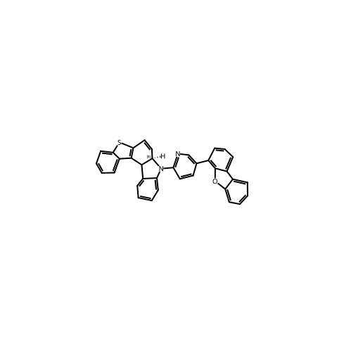 C1=C[C@@H]2C(c3ccccc3N2c2ccc(-c3cccc4c3oc3ccccc34)cn2)c2c1sc1ccccc21